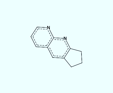 c1cnc2nc3c(cc2c1)CCC3